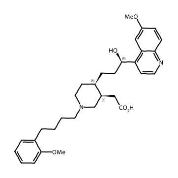 COc1ccc2nccc([C@H](O)CC[C@@H]3CCN(CCCCc4ccccc4OC)C[C@@H]3CC(=O)O)c2c1